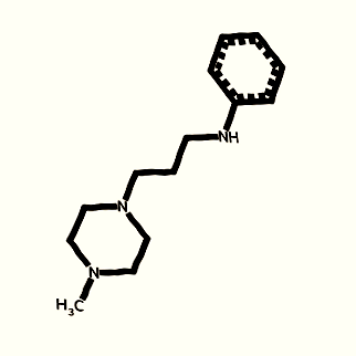 CN1CCN(CCCNc2ccccc2)CC1